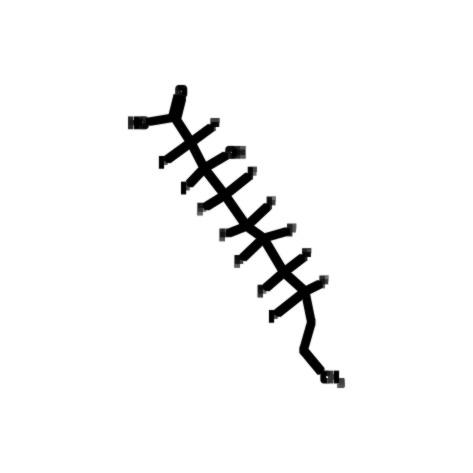 CCCC(F)(F)C(F)(F)C(F)(F)C(F)(F)C(F)(F)C(O)(F)C(F)(F)C(=O)O